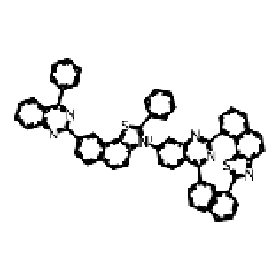 c1ccc(-c2nc3ccc4cccc(-c5nc(-c6ccccc6)c6ccc(-[n+]7c(-c8ccccc8)sc8c9cc(-c%10nc(-c%11ccccc%11)c%11ccccc%11n%10)ccc9ccc87)cc6n5)c4c3s2)cc1